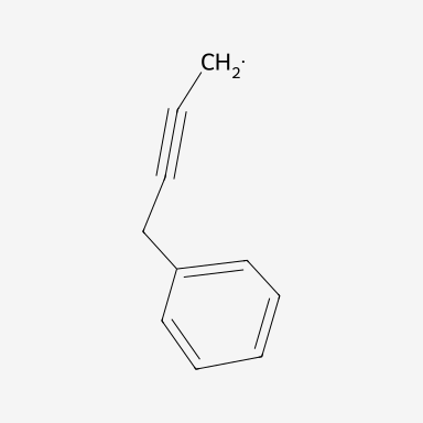 [CH2]C#CCc1ccccc1